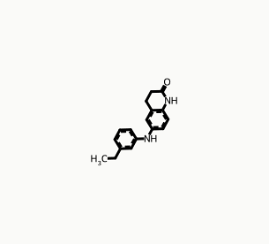 CCc1cccc(Nc2ccc3c(c2)CCC(=O)N3)c1